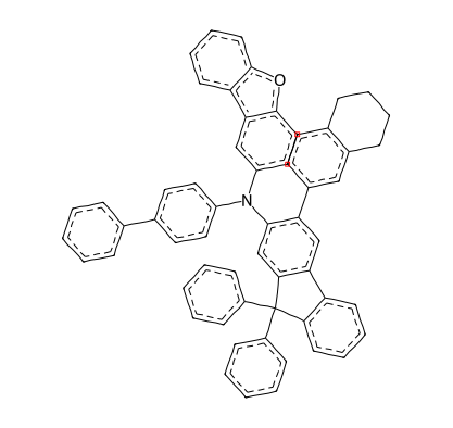 c1ccc(-c2ccc(N(c3ccc4oc5ccccc5c4c3)c3cc4c(cc3-c3ccc5c(c3)CCCC5)-c3ccccc3C4(c3ccccc3)c3ccccc3)cc2)cc1